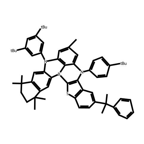 Cc1cc2c3c(c1)N(c1ccc(C(C)(C)C)cc1)c1c(sc4ccc(C(C)(C)c5ccccc5)cc14)B3c1cc3c(cc1N2c1cc(C(C)(C)C)cc(C(C)(C)C)c1)C(C)(C)CCC3(C)C